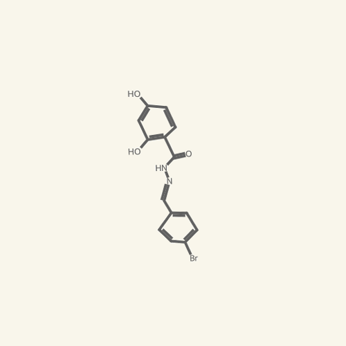 O=C(N/N=C/c1ccc(Br)cc1)c1ccc(O)cc1O